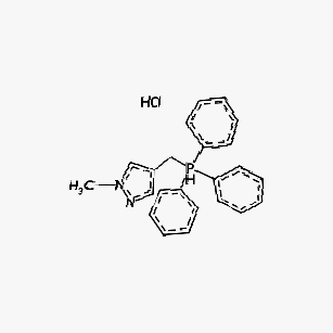 Cl.Cn1cc(C[PH](c2ccccc2)(c2ccccc2)c2ccccc2)cn1